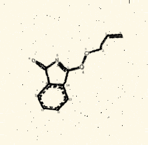 C=CCOOC1=NC(=O)c2ccccc21